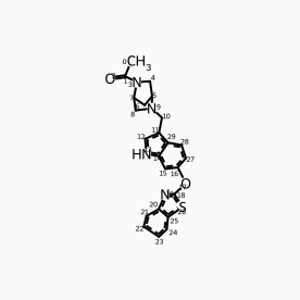 CC(=O)N1CC2CC1CN2Cc1c[nH]c2cc(Oc3nc4ccccc4s3)ccc12